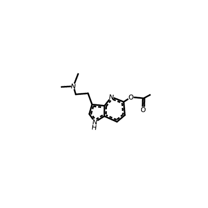 CC(=O)Oc1ccc2[nH]cc(CCN(C)C)c2n1